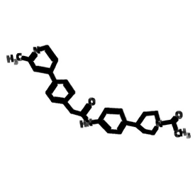 CC(=O)N1CCC(c2ccc(NC(=O)Cc3ccc(-c4ccnc(C)c4)cc3)cc2)CC1